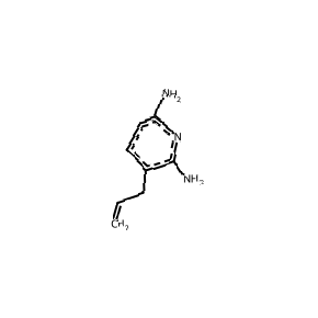 C=CCc1ccc(N)nc1N